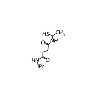 CC(C)NC(=O)CCC(=O)NC(C)S